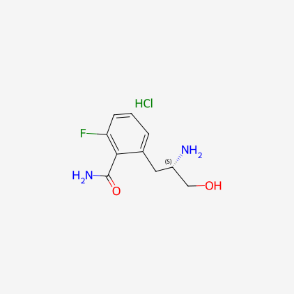 Cl.NC(=O)c1c(F)cccc1C[C@H](N)CO